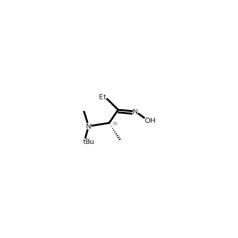 CCC(=NO)[C@H](C)N(C)C(C)(C)C